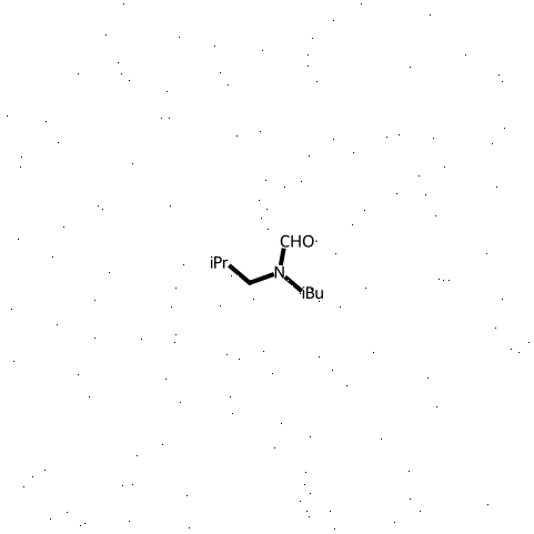 CCC(C)N([C]=O)CC(C)C